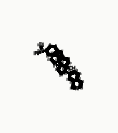 CCN(C(C)C)[C@H]1CCC2=CC3=CCC4(C)[C@@H](c5ccc6ccncc6c5)CC[C@H]4[C@@]34CC[C@]2(C1)C4